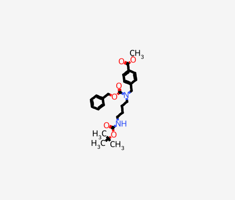 COC(=O)c1ccc(CN(CCCCNC(=O)OC(C)(C)C)C(=O)OCc2ccccc2)cc1